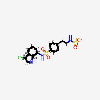 O=[SH](=O)NCCc1ccc(S(=O)(=O)Nc2cccc3c(Cl)c[nH]c23)cc1